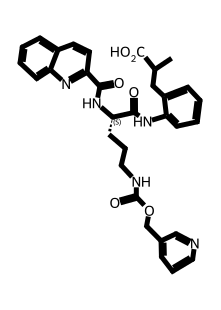 CC(Cc1ccccc1NC(=O)[C@H](CCCNC(=O)OCc1cccnc1)NC(=O)c1ccc2ccccc2n1)C(=O)O